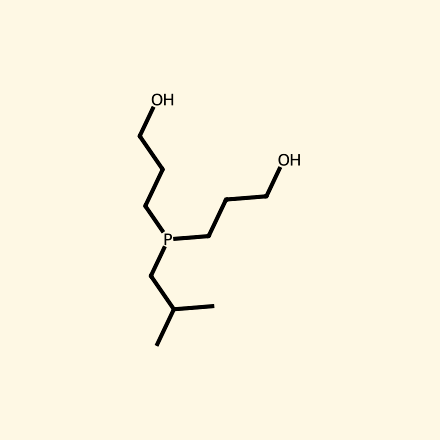 CC(C)CP(CCCO)CCCO